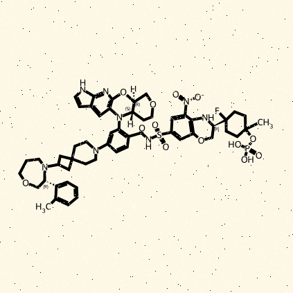 Cc1ccccc1[C@@H]1COCCCN1C1CC2(CCN(c3ccc(C(=O)NS(=O)(=O)c4cc5c(c([N+](=O)[O-])c4)N[C@@H](C4(F)CCC(C)(OP(=O)(O)O)CC4)CO5)c(N4c5cc6cc[nH]c6nc5O[C@H]5COCC[C@@H]54)c3)CC2)C1